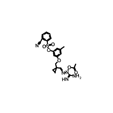 CC(=O)ON(N=CC1(COc2cc(C)cc(OS(=O)(=O)c3ccccc3C#N)c2)CC1)C(=N)N